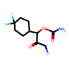 NC(=O)OC(C(=O)CI)C1CCC(F)(F)CC1